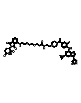 O=C(CCOCCOCCNc1cccc2c1C(=O)N(C1CCC(=O)NC1=O)C2=O)NCCN1CCN(C(=O)c2ccc(Nc3nc(C4CC4)cn4c(-c5cn[nH]c5)cnc34)c(F)c2)CC1